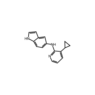 c1cnc(Nc2ccc3[nH]ccc3c2)c(C2CC2)c1